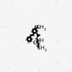 CCCC(=O)NC[C@@H]1C[C@H]1c1cc(OC)ccc1CCc1ccccc1